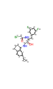 CCc1ccc2c(c1)[C@@H](NC[C@H](O)[C@H](Cc1cc(F)cc(F)c1)NC(=O)CBr)CCC2